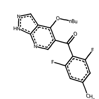 CCCCOc1c(C(=O)c2c(F)cc(C)cc2F)cnc2[nH]ncc12